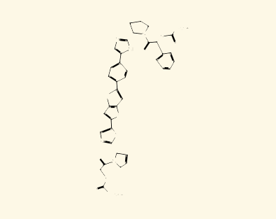 CC[C@@H](NC(=O)OC)C(=O)N1CC=C[C@H]1c1ncc(-c2cc3sc(-c4ccc(-c5cnc([C@@H]6CCCN6C(=O)[C@H](NC(=O)OC)c6ccccc6)[nH]5)cc4)cc3s2)[nH]1